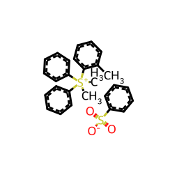 Cc1ccccc1[S+](C)(C)(c1ccccc1)c1ccccc1.O=S(=O)([O-])c1ccccc1